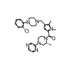 Cc1c(CN2CCN(c3ccccc3Cl)CC2)cc(C(=O)N2CCN(c3cnccn3)C[C@@H]2C)n1C